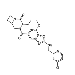 CCC1C(=O)N2CCC2CN1C(=O)c1cc(OC)c2oc(NCc3cc(Cl)ccn3)nc2c1